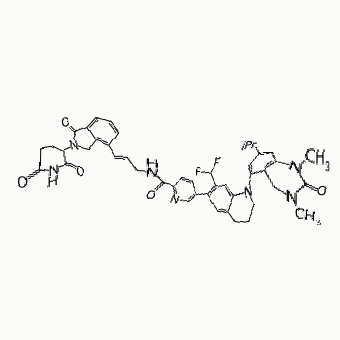 CC(C)c1cc2c(c(N3CCCc4cc(-c5ccc(C(=O)NC/C=C/c6cccc7c6CN(C6CCC(=O)NC6=O)C7=O)nc5)c(C(F)F)cc43)c1)CN(C)C(=O)N2C